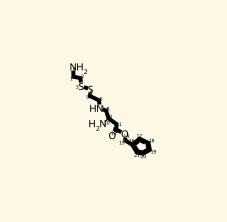 NCCSSCCNC[C@@H](N)CC(=O)OCc1ccccc1